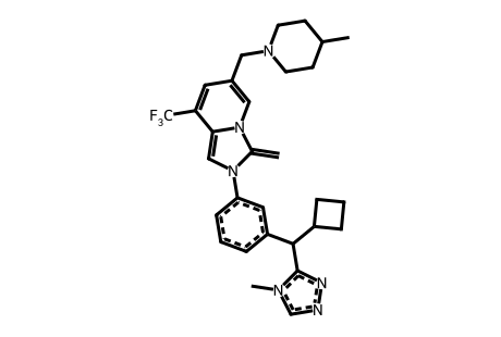 C=C1N2C=C(CN3CCC(C)CC3)C=C(C(F)(F)F)C2=CN1c1cccc(C(c2nncn2C)C2CCC2)c1